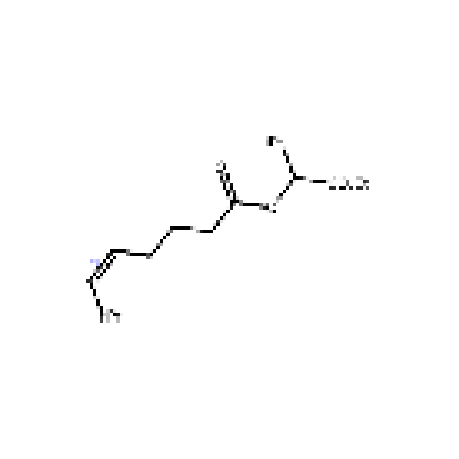 CCC/C=C\CCCC(=O)OC(C(=O)OCC)C(C)C